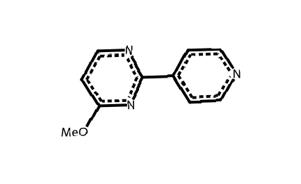 COc1ccnc(-c2ccncc2)n1